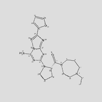 CCN1CCCN(C(=O)[C@@H]2CCCN2c2nc(N)n3nc(-c4ccco4)nc3n2)CC1